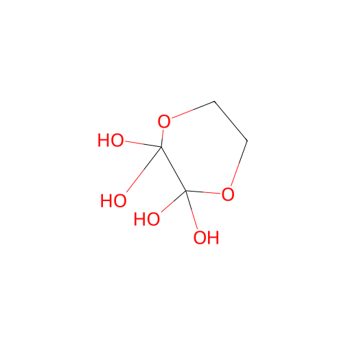 OC1(O)OCCOC1(O)O